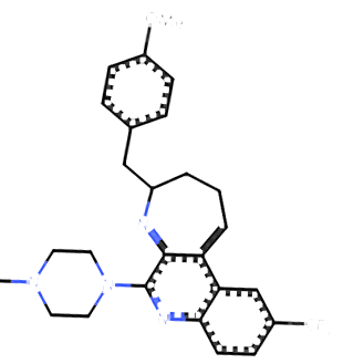 COc1ccc(CC2CCC=c3c(c(N4CCN(C)CC4)nc4ccc(C(F)(F)F)cc34)=N2)cc1